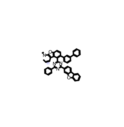 C=Nc1oc2ccc(-c3cccc(-c4ccccc4)c3)c(-c3nc(-c4ccccc4)nc(-c4ccc5c(c4)oc4ccccc45)n3)c2c1/C=C\C